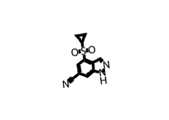 N#Cc1cc(S(=O)(=O)C2CC2)c2cn[nH]c2c1